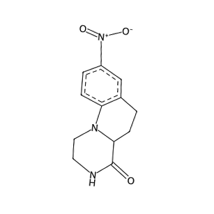 O=C1NCCN2c3ccc([N+](=O)[O-])cc3CCC12